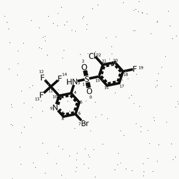 O=S(=O)(Nc1cc(Br)cnc1C(F)(F)F)c1ccc(F)cc1Cl